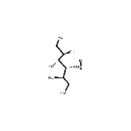 OC[C@@H](O)[C@@H](O)[C@H](O)[C@H](O)CO.[K][Br]